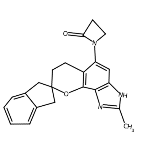 Cc1nc2c3c(c(N4CCC4=O)cc2[nH]1)CCC1(Cc2ccccc2C1)O3